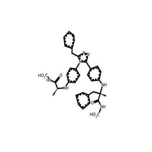 C[C@H](Nc1ccc(-n2c(Cc3ccccc3)nnc2-c2ccc(N[C@@](C)(Cc3ccccc3)C(=O)NC(=O)O)cc2)cc1)C(=O)NC(=O)O